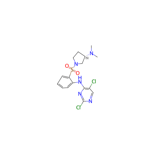 CN(C)[C@H]1CCN(S(=O)(=O)c2ccccc2Nc2nc(Cl)ncc2Cl)C1